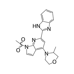 CC1COCCN1c1cc(-c2nc3ccccc3[nH]2)nc2c1ccn2S(C)(=O)=O